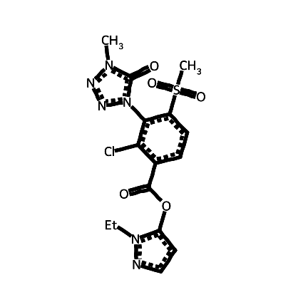 CCn1nccc1OC(=O)c1ccc(S(C)(=O)=O)c(-n2nnn(C)c2=O)c1Cl